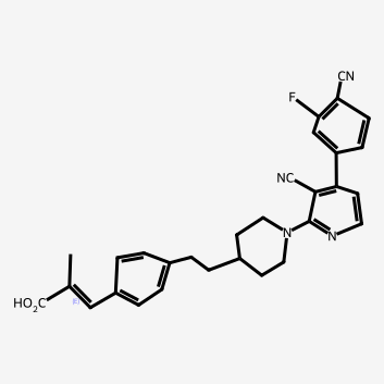 C/C(=C\c1ccc(CCC2CCN(c3nccc(-c4ccc(C#N)c(F)c4)c3C#N)CC2)cc1)C(=O)O